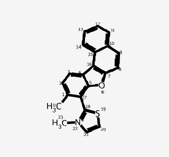 Cc1ccc2c(oc3ccc4ccccc4c32)c1-c1scc[n+]1C